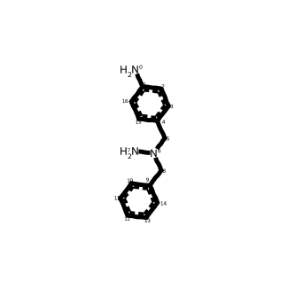 Nc1ccc(CN(N)Cc2ccccc2)cc1